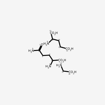 NC(=O)CCC(N)C(=O)O.NC(CCC(=O)O)C(=O)O.NCC(=O)O